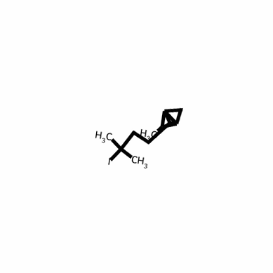 CC1C23CC12C3CCC(C)(C)I